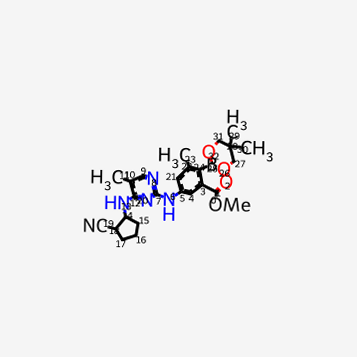 COC(=O)c1cc(Nc2ncc(C)c(NC3CCCC3C#N)n2)cc(C)c1B1OCC(C)(C)CO1